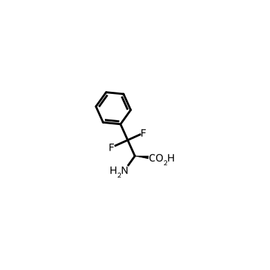 N[C@H](C(=O)O)C(F)(F)c1ccccc1